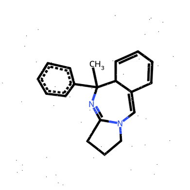 CC1(c2ccccc2)N=C2CCCN2C=C2C=CC=CC21